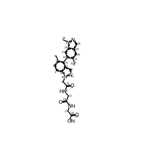 Cc1ccc2c(cnn2CC(=O)NCC(=O)NCC(=O)O)c1-c1cc2c(cnn2C)cc1F